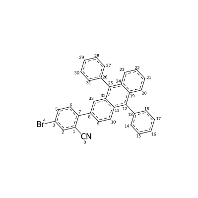 N#Cc1cc(Br)ccc1-c1ccc2c(-c3ccccc3)c3ccccc3c(-c3ccccc3)c2c1